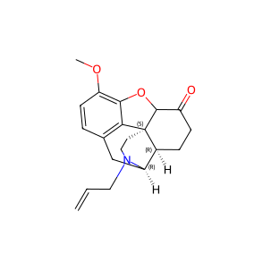 C=CCN1CC[C@]23c4c5ccc(OC)c4OC2C(=O)CC[C@H]3[C@H]1C5